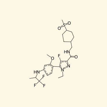 CCn1nc(C(=O)NCC2CCC(S(C)(=O)=O)CC2)c(F)c1-c1ccc(NC(C)C(F)(F)F)cc1OC